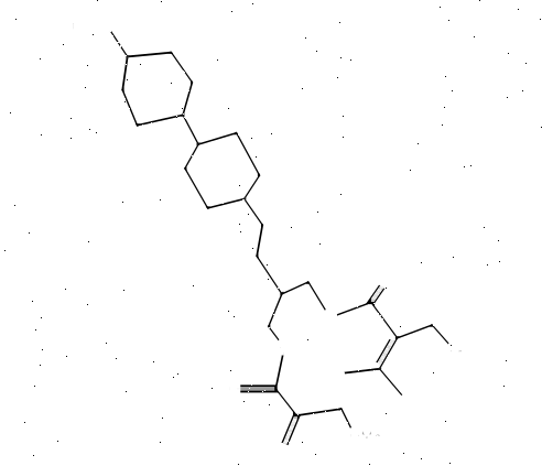 C=C(COC)C(=O)OCC(CCC1CCC(C2CCC(CCCCC)CC2)CC1)COC(=O)C(CO)=C(C)C